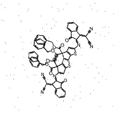 N#CC(C#N)=C1/C(=N/C2=Cc3sc4c(c3C2(C(=O)OCc2ccccc2)C(=O)OCc2ccccc2)C(C(=O)OCc2ccccc2)(C(=O)OCc2ccccc2)c2cc(/N=C3\C(=O)c5ccccc5C3=C(C#N)C#N)sc2-4)C(=O)c2ccccc21